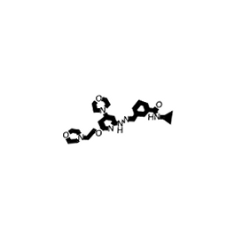 O=C(NC1CC1)c1cccc(/C=N/Nc2cc(N3CCOCC3)cc(OCCN3CCOCC3)n2)c1